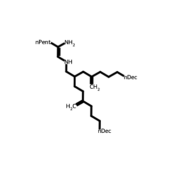 C=C(CCCCCCCCCCCCC)CCC(CN/C=C(\N)CCCCC)CC(=C)CCCCCCCCCCCCC